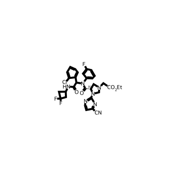 CCOC(=O)CN1C[C@@H](C(=O)N(c2cccc(F)c2)C(C(=O)NC2CC(F)(F)C2)c2ccccc2Cl)N(c2nccc(C#N)n2)C1